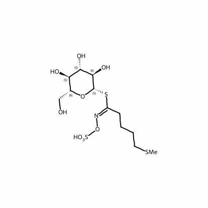 CSCCCCC(=NOS(=O)(=O)O)S[C@@H]1O[C@H](CO)[C@@H](O)[C@H](O)[C@H]1O